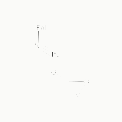 [PoH][Po]#[Po][O]C1CO1